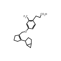 O=C(O)CCc1ccc(OCC2=C(C3CCC4CC43)CCC2)cc1C(F)(F)F